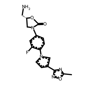 Cc1nc(-c2ccn(-c3ccc(N4C[C@H](CN)OC4=O)cc3F)c2)no1